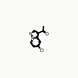 CC(=O)c1cnn2ccc(Cl)cc12